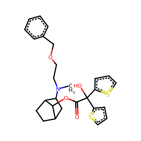 CN(CCOCc1ccccc1)C1CC2CCC1C2OC(=O)C(O)(c1cccs1)c1cccs1